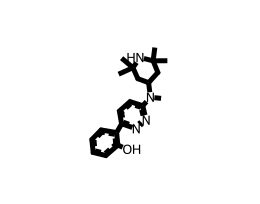 CN(c1ccc(-c2ccccc2O)nn1)C1CC(C)(C)NC(C)(C)C1